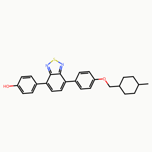 CC1CCC(COc2ccc(-c3ccc(-c4ccc(O)cc4)c4nsnc34)cc2)CC1